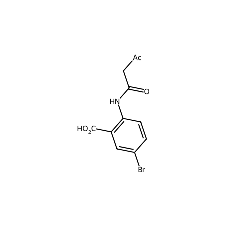 CC(=O)CC(=O)Nc1ccc(Br)cc1C(=O)O